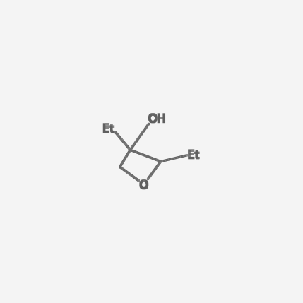 CCC1OCC1(O)CC